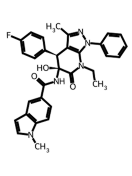 CCN1C(=O)[C@](O)(NC(=O)c2ccc3c(ccn3C)c2)[C@@H](c2ccc(F)cc2)c2c(C)nn(-c3ccccc3)c21